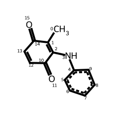 CC1=C(Nc2ccccc2)C(=O)C=CC1=O